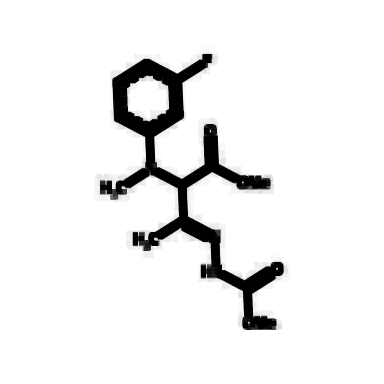 COC(=O)N/N=C(\C)C(C(=O)OC)N(C)c1cccc(F)c1